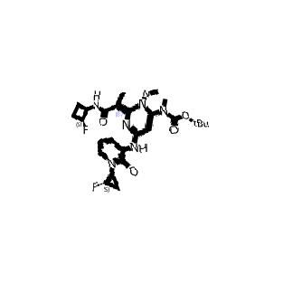 C=NN1C(N(C)C(=O)OC(C)(C)C)=CC(Nc2cccn(C3C[C@@H]3F)c2=O)=N/C1=C(/C)C(=O)NC1CC[C@@H]1F